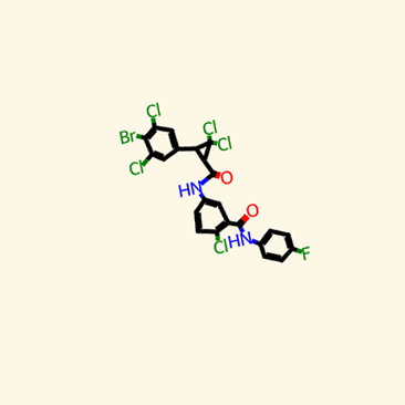 O=C(Nc1ccc(F)cc1)c1cc(NC(=O)C2C(c3cc(Cl)c(Br)c(Cl)c3)C2(Cl)Cl)ccc1Cl